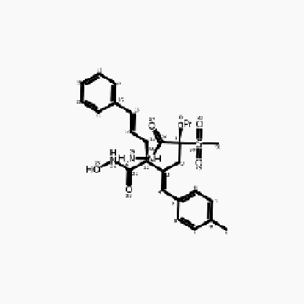 CCC[C@@](C/C(=C\c1ccc(C)cc1)[C@H](CC=Cc1ccccc1)C(=O)NO)(C(=O)NN)S(C)(=O)=O